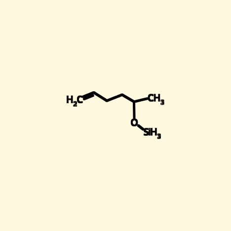 C=CCCC(C)O[SiH3]